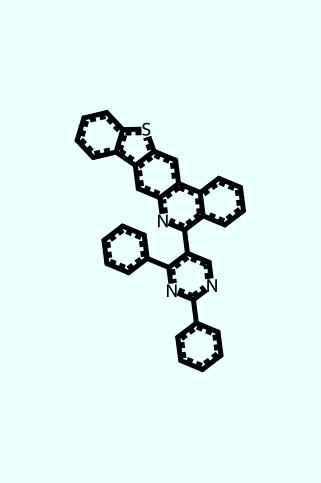 c1ccc(-c2ncc(-c3nc4cc5c(cc4c4ccccc34)sc3ccccc35)c(-c3ccccc3)n2)cc1